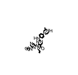 C=CCn1c(=O)c2cnc(Nc3ccc(N4CCNC(C)C4)cc3)nc2n1-c1cncc(N=S(C)(C)=O)n1